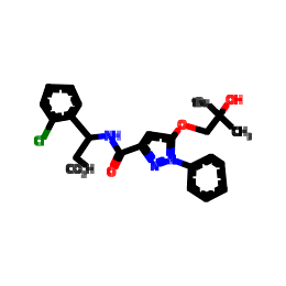 CC(C)(C)C(C)(O)COc1cc(C(=O)NC(CC(=O)O)c2ccccc2Cl)nn1-c1ccccc1